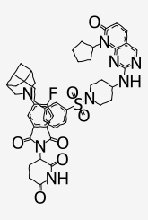 O=C1CCC(N2C(=O)c3cc(F)c(N4CC5CC6(CCc7cccc(S(=O)(=O)N8CCC(Nc9ncc%10ccc(=O)n(C%11CCCC%11)c%10n9)CC8)c7)C(CC56)C4)cc3C2=O)C(=O)N1